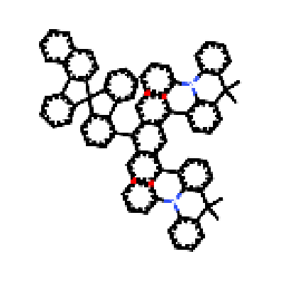 CC1(C)c2ccccc2N(c2ccccc2)c2c(-c3cccc4c(-c5cccc6c5-c5ccccc5C65c6ccccc6-c6c5ccc5ccccc65)c5cccc(-c6cccc7c6N(c6ccccc6)c6ccccc6C7(C)C)c5cc34)cccc21